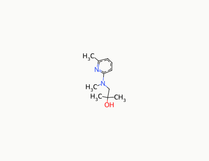 Cc1cccc(N(C)CC(C)(C)O)n1